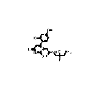 COc1ccc(-c2cc(=O)[nH]c(=S)n2CC(=O)NCC(F)(F)CN)c(O)c1